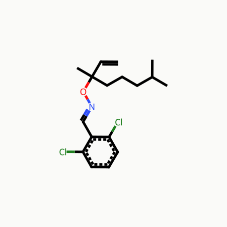 C=CC(C)(CCCC(C)C)ON=Cc1c(Cl)cccc1Cl